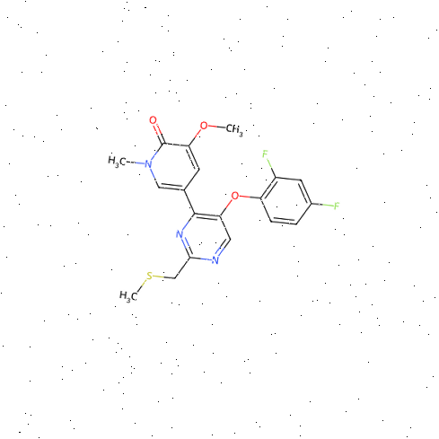 COc1cc(-c2nc(CSC)ncc2Oc2ccc(F)cc2F)cn(C)c1=O